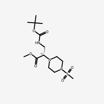 COC(=O)[C@H](CNC(=O)OC(C)(C)C)N1CCN(S(C)(=O)=O)CC1